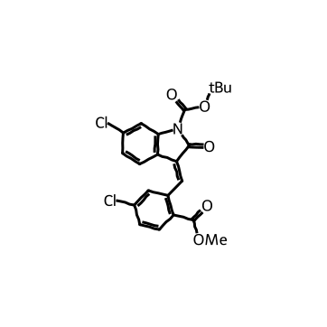 COC(=O)c1ccc(Cl)cc1/C=C1/C(=O)N(C(=O)OC(C)(C)C)c2cc(Cl)ccc21